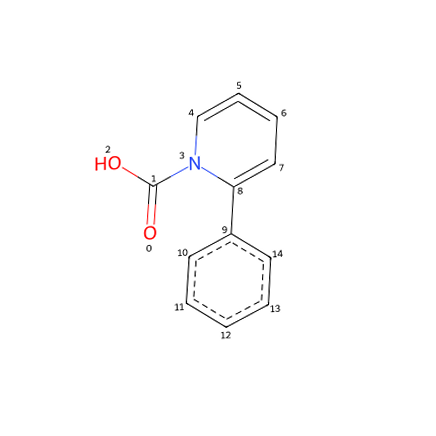 O=C(O)N1C=C=CC=C1c1ccccc1